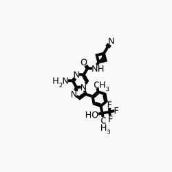 Cc1ccc(C(C)(O)C(F)(F)F)cc1-c1cnc2c(N)nc(C(=O)NC34CC(C#N)(C3)C4)cn12